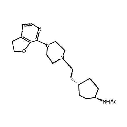 CC(=O)N[C@H]1CC[C@H](CCN2CCN(c3nccc4c3OCC4)CC2)CC1